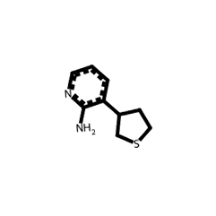 Nc1ncccc1C1CCSC1